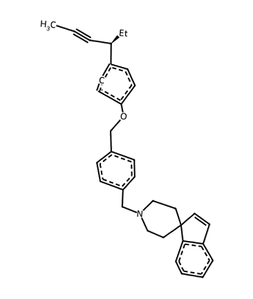 CC#C[C@@H](CC)c1ccc(OCc2ccc(CN3CCC4(C=Cc5ccccc54)CC3)cc2)cc1